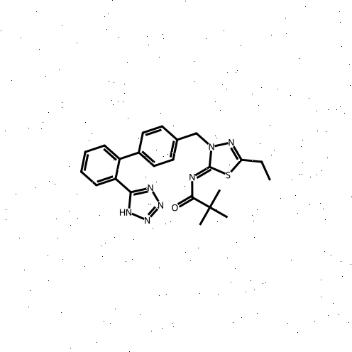 CCc1nn(Cc2ccc(-c3ccccc3-c3nnn[nH]3)cc2)c(=NC(=O)C(C)(C)C)s1